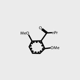 CCCC(=O)c1c(OC)cccc1OC